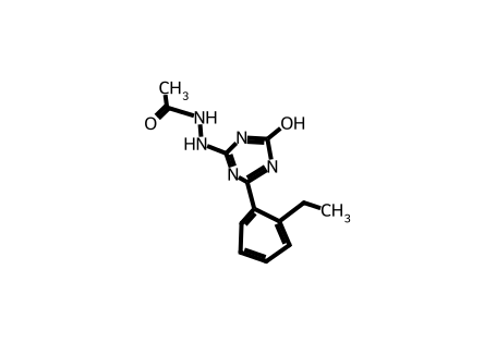 CCc1ccccc1-c1nc(O)nc(NNC(C)=O)n1